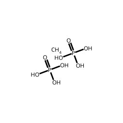 C.O=P(O)(O)O.O=P(O)(O)O